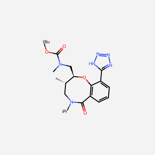 CC(C)N1C[C@H](C)[C@@H](CN(C)C(=O)OC(C)(C)C)Oc2c(cccc2-c2nnn[nH]2)C1=O